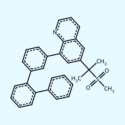 CC(C)(c1cc(-c2cccc(-c3ccccc3-c3ccccc3)c2)c2ncccc2c1)S(C)(=O)=O